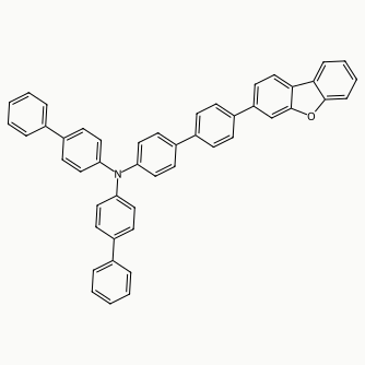 c1ccc(-c2ccc(N(c3ccc(-c4ccccc4)cc3)c3ccc(-c4ccc(-c5ccc6c(c5)oc5ccccc56)cc4)cc3)cc2)cc1